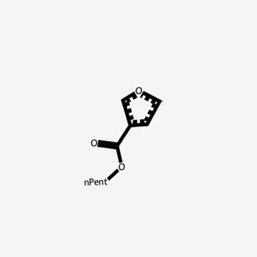 CCCCCOC(=O)c1c[c]oc1